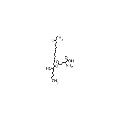 CCCCCC(O)C(CCCCCCCCCCC(C)=O)OC(=O)CC[C@H](N)C(=O)O